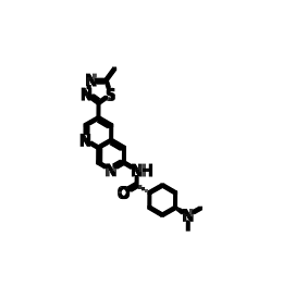 Cc1nnc(-c2cnc3cnc(NC(=O)[C@H]4CC[C@H](N(C)C)CC4)cc3c2)s1